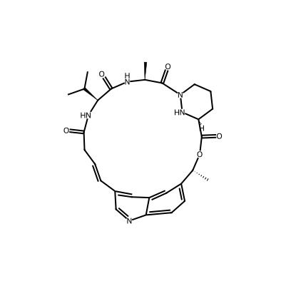 CC(C)[C@@H]1NC(=O)C/C=C/c2cnc3ccc(cc3c2)[C@@H](C)OC(=O)[C@@H]2CCCN(N2)C(=O)[C@H](C)NC1=O